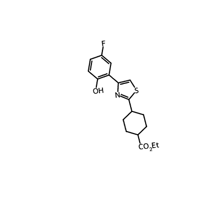 CCOC(=O)C1CCC(c2nc(-c3cc(F)ccc3O)cs2)CC1